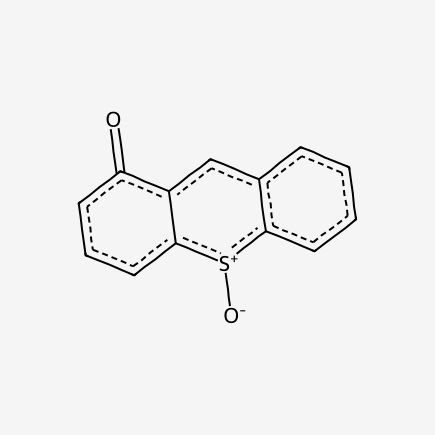 O=c1cccc2[s+]([O-])c3ccccc3cc1-2